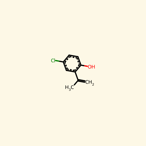 C=C(C)c1cc(Cl)ccc1O